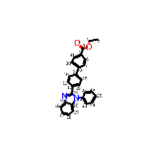 CCOC(=O)c1ccc(-c2ccc(-c3nc4ccccc4n3-c3ccccc3)cc2)cc1